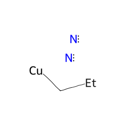 CC[CH2][Cu].[N].[N]